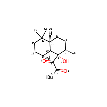 CC[C@@H](C)C(=O)C(=O)[C@]1(O)[C@@H](C)CC[C@H]2C(C)(C)CCC[C@@]21C